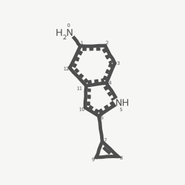 Nc1ccc2[nH]c(C3=CC3)cc2c1